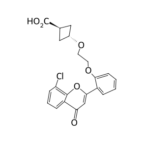 O=c1cc(-c2ccccc2OCCO[C@H]2C[C@H](C(=O)O)C2)oc2c(Cl)cccc12